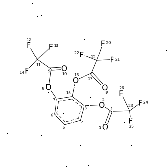 O=C(Oc1cccc(OC(=O)C(F)(F)F)c1OC(=O)C(F)(F)F)C(F)(F)F